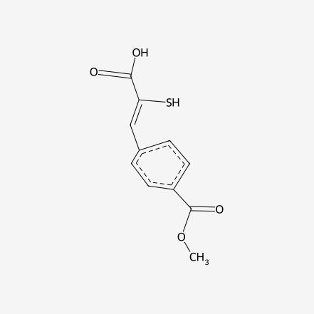 COC(=O)c1ccc(/C=C(\S)C(=O)O)cc1